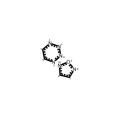 c1cnnnn1.c1cnon1